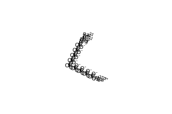 O=[Si]([O-])[O-].O=[Si]([O-])[O-].O=[Si]([O-])[O-].O=[Si]([O-])[O-].O=[Si]([O-])[O-].O=[Si]([O-])[O-].O=[Si]([O-])[O-].O=[Si]([O-])[O-].O=[Si]([O-])[O-].[Al+3].[Al+3].[Ba+2].[Ba+2].[Mg+2].[Mg+2].[Zn+2].[Zn+2]